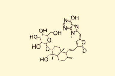 C=C1CCC2[C@](C)(CC[C@@H](OC3OC(CO)C(O)C(O)C3O)[C@@]2(C)CO)C1/C=C/C1=CC(=C\c2nc3c(O)ncnc3n2C)/OC1=O